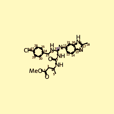 COC(=O)C[C@H](C)NC(=O)N/C(=N\c1ccc2nc(C)[nH]c2c1)NCc1ccc(Cl)cc1